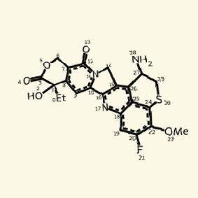 CC[C@@]1(O)C(=O)OCc2c1cc1n(c2=O)Cc2c-1nc1cc(F)c(OC)c3c1c2C(N)CS3